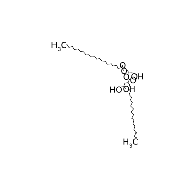 CCCCCCCCCCCCCCCCCCCCCC(=O)OCC(CO)OC(=O)C(CCCCCCCCCCCCCCCCCCCC)CC(O)CO